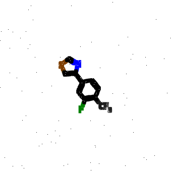 Fc1cc(-c2cscn2)ccc1C(F)(F)F